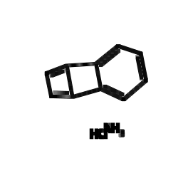 Cl.N.c1ccc2c3ccc-3c2c1